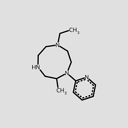 CCN1CCNCC(C)N(c2ccccn2)CC1